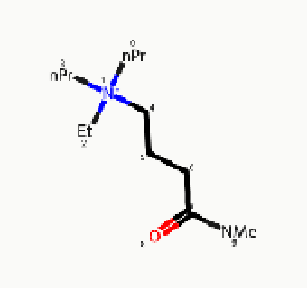 CCC[N+](CC)(CCC)CCCC(=O)NC